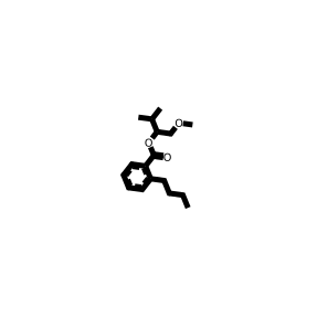 CCCCc1ccccc1C(=O)OC(COC)C(C)C